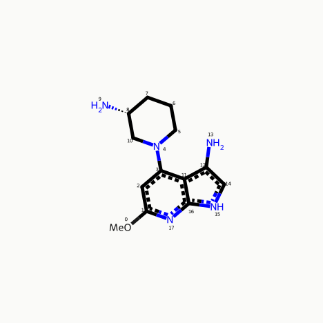 COc1cc(N2CCC[C@@H](N)C2)c2c(N)c[nH]c2n1